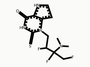 CN(C)C(F)(CF)C(F)Cn1c(=S)[nH]c(=O)c2[nH]ccc21